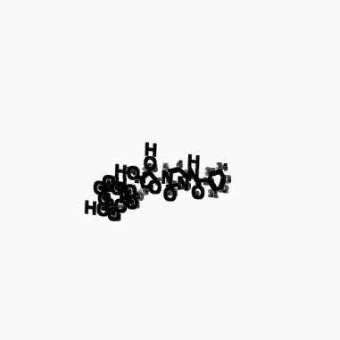 O=C(Nc1ccn([C@@H]2O[C@H](COP3(=O)OP(=O)(O)OP(=O)(O)O3)C(O)[C@@H]2O)c(=O)n1)c1ccccc1